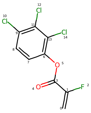 C=C(F)C(=O)Oc1ccc(Cl)c(Cl)c1Cl